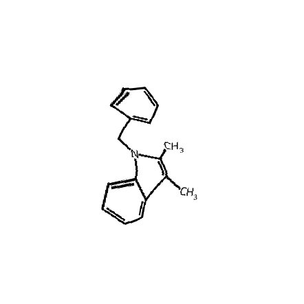 Cc1c(C)n(Cc2ccccc2)c2ccccc12